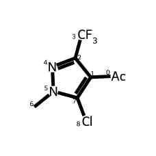 CC(=O)c1c(C(F)(F)F)nn(C)c1Cl